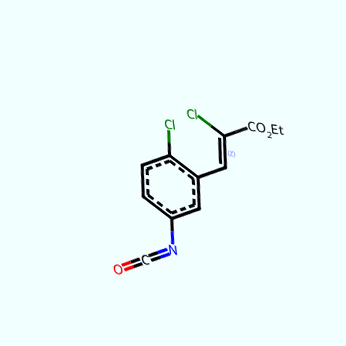 CCOC(=O)/C(Cl)=C/c1cc(N=C=O)ccc1Cl